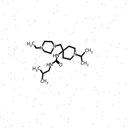 CCN1CCN(CC2(NC(=O)NCC(C)C)CCN(C(C)C)CC2)CC1